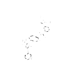 CN(C)C(=O)c1cccc(C(=O)Nc2ccc(-n3nc(-c4cccnc4)cc3C(F)(F)F)cn2)c1